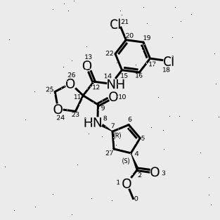 COC(=O)[C@@H]1C=C[C@H](NC(=O)C2(C(=O)Nc3cc(Cl)cc(Cl)c3)COCO2)C1